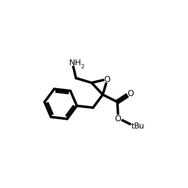 CC(C)(C)OC(=O)C1(Cc2ccccc2)OC1CN